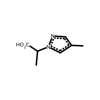 Cc1cnn(C(C)C(=O)O)c1